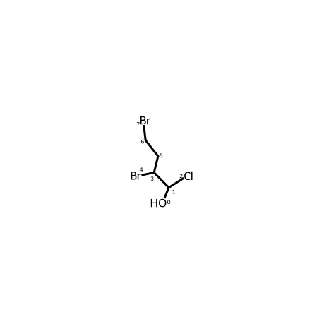 OC(Cl)C(Br)CCBr